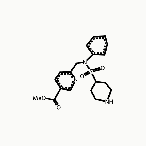 COC(=O)c1ccc(CN(c2ccccc2)S(=O)(=O)C2CCNCC2)nc1